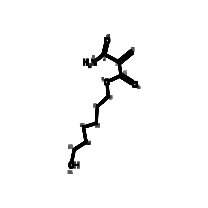 C=C(C(N)=O)C(=O)OCCCCCCO